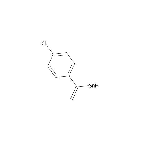 C=[C]([SnH])c1ccc(Cl)cc1